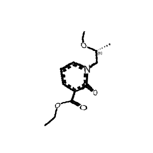 CCOC(=O)c1cccn(C[C@@H](C)OC)c1=O